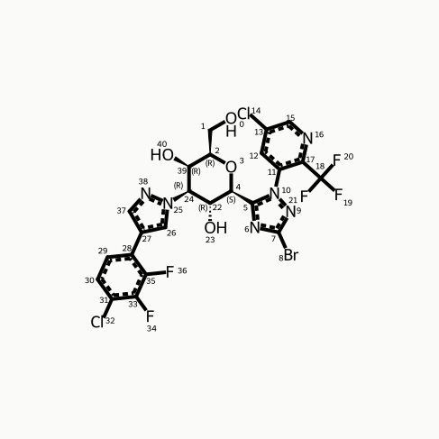 OC[C@H]1O[C@@H](c2nc(Br)nn2-c2cc(Cl)cnc2C(F)(F)F)[C@H](O)[C@@H](n2cc(-c3ccc(Cl)c(F)c3F)cn2)[C@H]1O